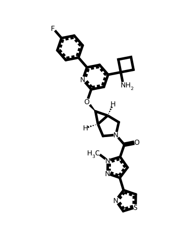 Cn1nc(-c2cscn2)cc1C(=O)N1C[C@@H]2[C@H](C1)[C@@H]2Oc1cc(C2(N)CCC2)cc(-c2ccc(F)cc2)n1